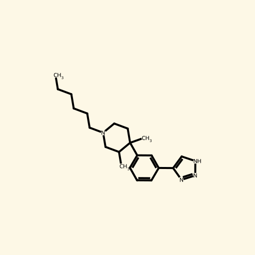 CCCCCCN1CCC(C)(c2cccc(-c3c[nH]nn3)c2)C(C)C1